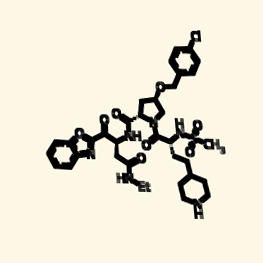 CCNC(=O)C[C@H](NC(=O)[C@@H]1C[C@@H](OCc2ccc(Cl)cc2)CN1C(=O)[C@@H](CCC1CCNCC1)NS(C)(=O)=O)C(=O)c1nc2ccccc2o1